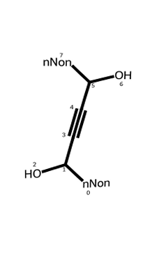 CCCCCCCCCC(O)C#CC(O)CCCCCCCCC